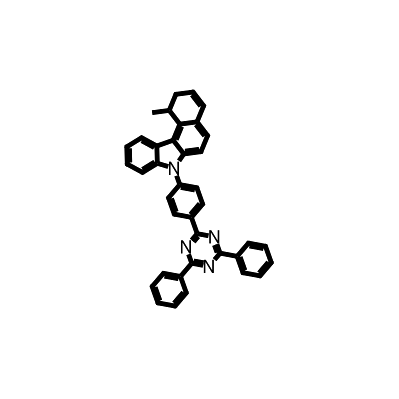 CC1CC=Cc2ccc3c(c21)c1ccccc1n3-c1ccc(-c2nc(-c3ccccc3)nc(-c3ccccc3)n2)cc1